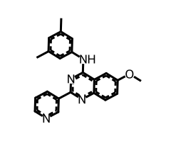 COc1ccc2nc(-c3cccnc3)nc(Nc3cc(C)cc(C)c3)c2c1